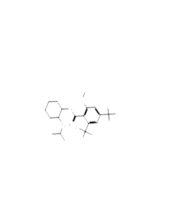 COc1cc(C(F)(F)F)cc(C(F)(F)F)c1C(=O)NC1CCCCC1NC(C)C